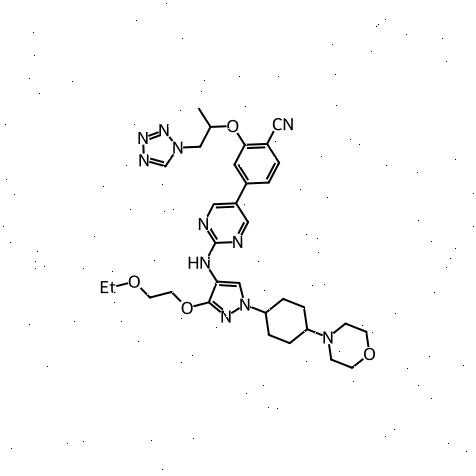 CCOCCOc1nn(C2CCC(N3CCOCC3)CC2)cc1Nc1ncc(-c2ccc(C#N)c(OC(C)Cn3cnnn3)c2)cn1